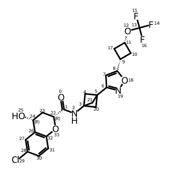 O=C(NC12CC(c3cc([C@H]4C[C@@H](OC(F)(F)F)C4)on3)(C1)C2)[C@H]1C[C@@H](O)c2cc(Cl)ccc2O1